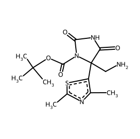 Cc1nc(C)c(C2(CN)C(=O)NC(=O)N2C(=O)OC(C)(C)C)s1